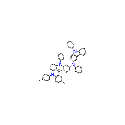 Cc1ccc(N2c3ccc(C)cc3B3c4ccc(N(c5ccccc5)c5ccc6c(c5)c5ccccc5n6-c5ccccc5)cc4N(c4ccccc4)c4cccc2c43)cc1